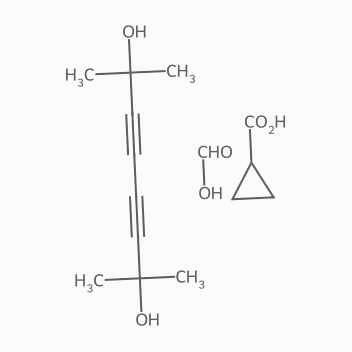 CC(C)(O)C#CC#CC(C)(C)O.O=C(O)C1CC1.O=CO